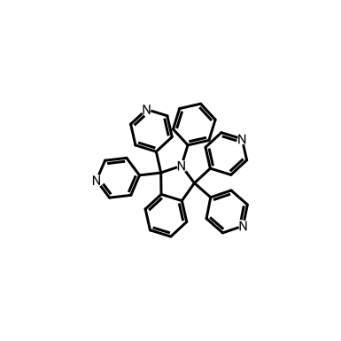 c1ccc(N2C(c3ccncc3)(c3ccncc3)c3ccccc3C2(c2ccncc2)c2ccncc2)cc1